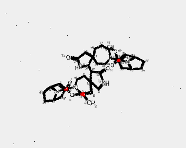 CCOC(=O)N1C2C=C(N3CCC4(CC3)CNC(=O)C4C3NC(=O)CC34CCCN(C3=CC5CCC(C3)N5C(=O)OC)CC4)CC1CC2